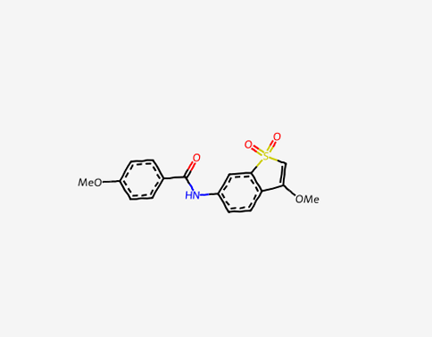 COC1=CS(=O)(=O)c2cc(NC(=O)c3ccc(OC)cc3)ccc21